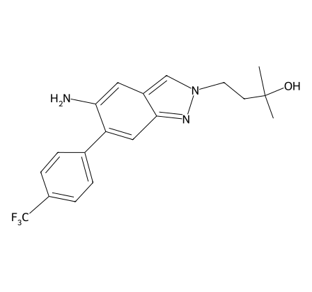 CC(C)(O)CCn1cc2cc(N)c(-c3ccc(C(F)(F)F)cc3)cc2n1